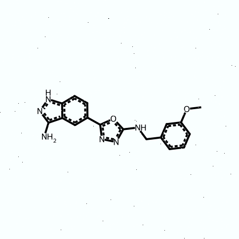 COc1cccc(CNc2nnc(-c3ccc4[nH]nc(N)c4c3)o2)c1